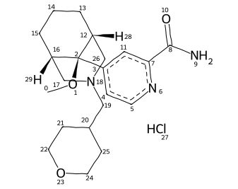 CO[C@]1(c2ccnc(C(N)=O)c2)[C@@H]2CCC[C@H]1CN(CC1CCOCC1)C2.Cl